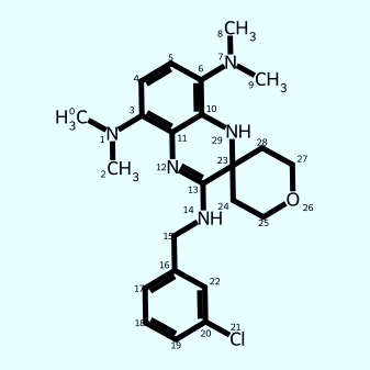 CN(C)c1ccc(N(C)C)c2c1N=C(NCc1cccc(Cl)c1)C1(CCOCC1)N2